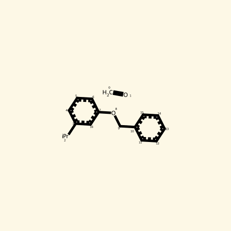 C=O.CC(C)c1cccc(OCc2ccccc2)c1